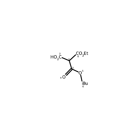 CCOC(=O)C(C(=O)O)C(=O)OC(C)CC